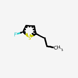 CCCc1ccc(F)s1